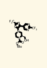 CC(C)(C)OC(=O)N1CCN(c2sc(C(F)(F)F)nc2-c2cnc(C(F)(F)F)nc2)C[C@H]1CO